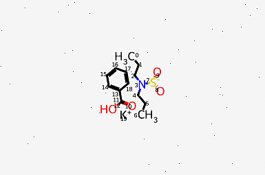 CCCN(CCC)[S-](=O)=O.O=C(O)c1ccccc1.[K+]